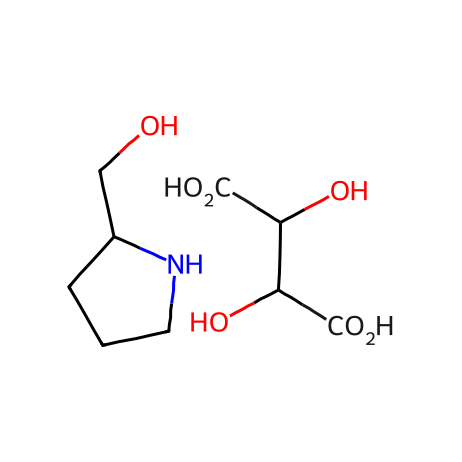 O=C(O)C(O)C(O)C(=O)O.OCC1CCCN1